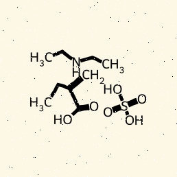 C=C(CC)C(=O)O.CCNCC.O=S(=O)(O)O